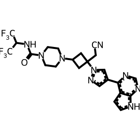 N#CCC1(n2cc(-c3ncnc4[nH]ccc34)cn2)CC(N2CCN(C(=O)NC(C(F)(F)F)C(F)(F)F)CC2)C1